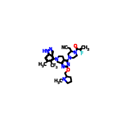 C=C(F)C(=O)N1CCN(c2nc(OCC3CCCN3C)nc3c2CCN(c2c(C(F)(F)F)c(C)cc4[nH]ncc24)C3)CC1CC#N